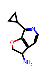 NC1COc2c1ccnc2C1CC1